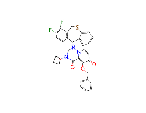 O=C1c2c(OCc3ccccc3)c(=O)ccn2N([C@@H]2c3ccccc3SCc3c2ccc(F)c3F)CN1C1C2CC1C2